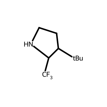 CC(C)(C)C1CCNC1C(F)(F)F